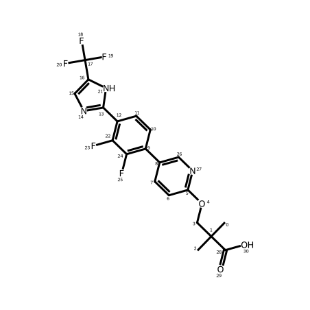 CC(C)(COc1ccc(-c2ccc(-c3ncc(C(F)(F)F)[nH]3)c(F)c2F)cn1)C(=O)O